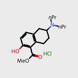 CCCN(CCC)C1CCc2c(ccc(O)c2C(=O)OC)C1.Cl